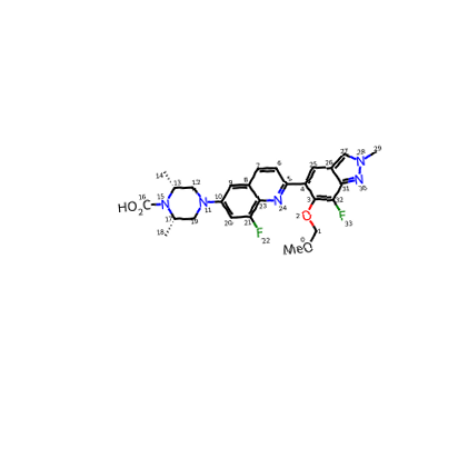 COCOc1c(-c2ccc3cc(N4C[C@@H](C)N(C(=O)O)[C@@H](C)C4)cc(F)c3n2)cc2cn(C)nc2c1F